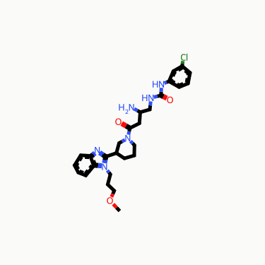 COCCCn1c(C2CCCN(C(=O)CC(N)CNC(=O)Nc3cccc(Cl)c3)C2)nc2ccccc21